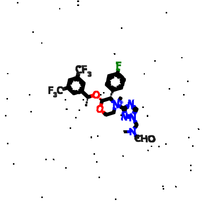 C[C@@H](O[C@H]1OCC[N+](C)(c2ncn(CN(C)C=O)n2)[C@H]1c1ccc(F)cc1)c1cc(C(F)(F)F)cc(C(F)(F)F)c1